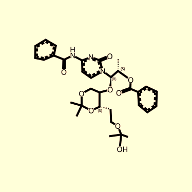 C[C@H](OC(=O)c1ccccc1)[C@@H](OC1COC(C)(C)O[C@H]1CCOC(C)(C)O)n1ccc(NC(=O)c2ccccc2)nc1=O